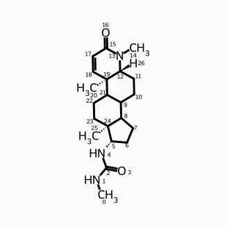 CNC(=O)N[C@H]1CCC2C3CC[C@H]4N(C)C(=O)C=C[C@]4(C)C3CC[C@@]21C